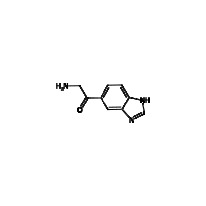 NCC(=O)c1ccc2[nH]cnc2c1